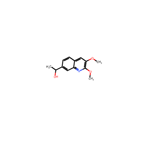 COc1cc2ccc(C(C)O)cc2nc1OC